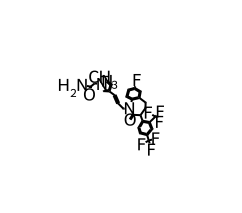 CC(C(N)=O)n1cc(C#CCN2C(=O)C(c3ccc(C(F)(F)F)cc3C(F)(F)F)CCc3cc(F)ccc32)cn1